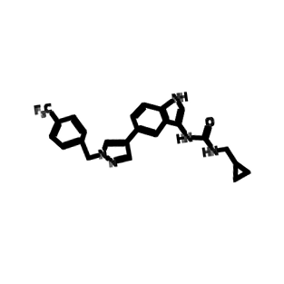 O=C(NCC1CC1)Nc1c[nH]c2ccc(-c3cnn(Cc4ccc(C(F)(F)F)cc4)c3)cc12